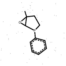 CC12CCP(c3ccccc3)C1O2